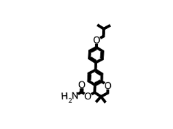 CC(C)COc1ccc(-c2ccc3c(c2)OCC(C)(C)C3OC(N)=O)cc1